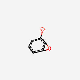 [O]c1cccc2c1O2